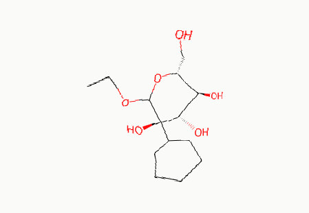 CCOC1O[C@H](CO)[C@@H](O)[C@H](O)[C@]1(O)C1CCCCC1